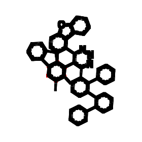 Cc1cc2c(c(-c3c(-c4cccc(-c5ccccc5-c5ccccc5)c4-c4ccccc4)nnnc3-c3c(-c4ccccc4)ccc4oc5ccccc5c34)c1C)Cc1ccccc1-2